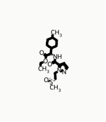 CCOC(=O)[C@@H](NC(=O)c1ccnn1CC[S+](C)[O-])C1CCC(C)CC1